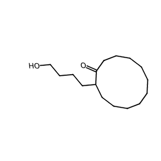 O=C1CCCCCCCCCCC1CCCCO